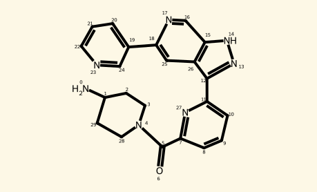 NC1CCN(C(=O)c2cccc(-c3n[nH]c4cnc(-c5cccnc5)cc34)n2)CC1